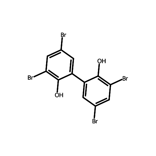 Oc1c(Br)cc(Br)cc1-c1cc(Br)cc(Br)c1O